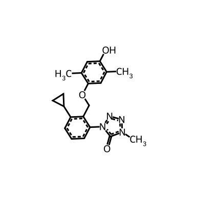 Cc1cc(OCc2c(C3CC3)cccc2-n2nnn(C)c2=O)c(C)cc1O